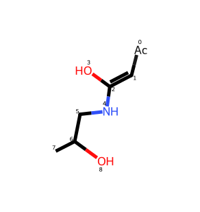 CC(=O)/C=C(\O)NCC(C)O